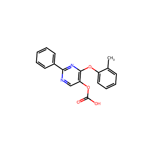 Cc1ccccc1Oc1nc(-c2ccccc2)ncc1OC(=O)O